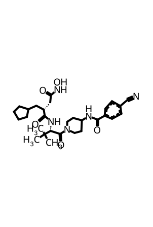 CC(C)(C)[C@H](NC(=O)[C@@H](CC(=O)NO)CC1CCCC1)C(=O)N1CCC(NC(=O)c2ccc(C#N)cc2)CC1